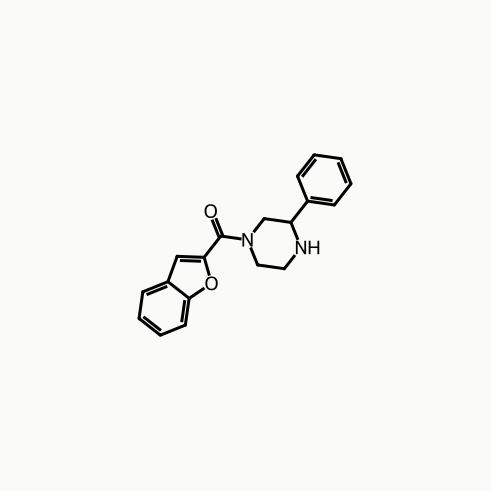 O=C(c1cc2ccccc2o1)N1CCNC(c2ccccc2)C1